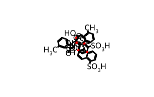 Cc1ccc2c(NC(=O)Nc3c4ccc(C)c3S(=O)(=O)N4c3c(O)ccc4c(S(=O)(=O)O)cccc34)c1S(=O)(=O)N2c1c(O)ccc2c(S(=O)(=O)O)cccc12